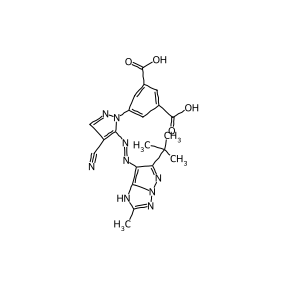 Cc1nn2nc(C(C)(C)C)c(/N=N/c3c(C#N)cnn3-c3cc(C(=O)O)cc(C(=O)O)c3)c2[nH]1